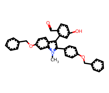 Cn1c(-c2ccc(OCc3ccccc3)cc2)c(-c2cc(O)ccc2C=O)c2ccc(OCc3ccccc3)cc21